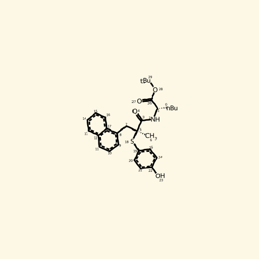 CCCC[C@H](NC(=O)[C@](C)(Cc1cccc2ccccc12)Sc1ccc(O)cc1)C(=O)OC(C)(C)C